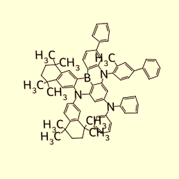 Cc1cc(-c2ccccc2)ccc1N1c2cc(-c3ccccc3)ccc2B2c3cc4c(cc3N(c3ccc5c(c3)C(C)(C)CCC5(C)C)c3cc(N(c5ccccc5)c5ccccc5)cc1c32)C(C)(C)CCC4(C)C